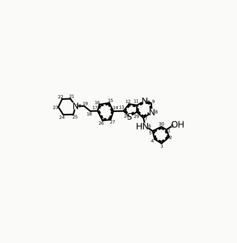 Oc1cccc(Nc2ncnc3cc(-c4ccc(CCN5CCCCC5)cc4)sc23)c1